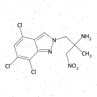 CC(N)(Cn1cc2c(Cl)cc(Cl)c(Cl)c2n1)C[N+](=O)[O-]